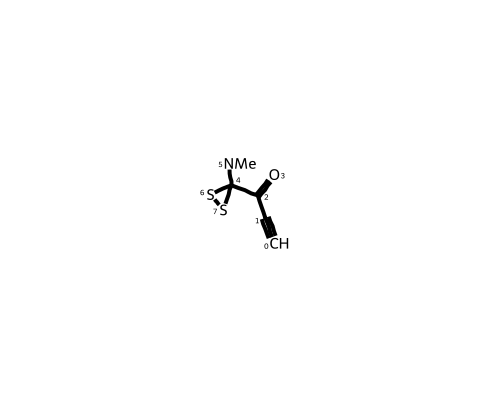 C#CC(=O)C1(NC)SS1